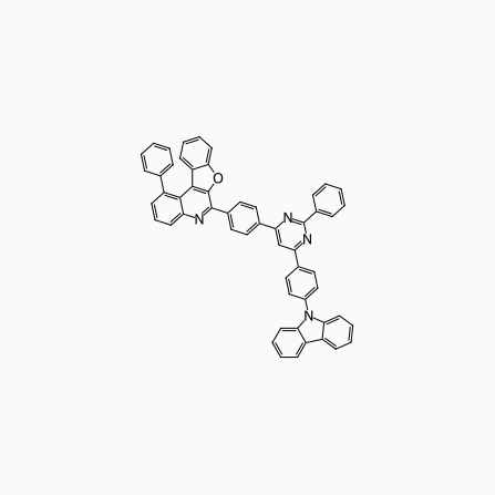 c1ccc(-c2nc(-c3ccc(-c4nc5cccc(-c6ccccc6)c5c5c4oc4ccccc45)cc3)cc(-c3ccc(-n4c5ccccc5c5ccccc54)cc3)n2)cc1